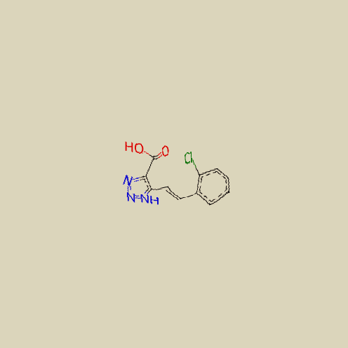 O=C(O)c1nn[nH]c1/C=C/c1ccccc1Cl